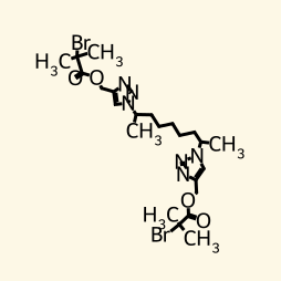 CC(CCCCCC(C)n1cc(COC(=O)C(C)(C)Br)nn1)n1cc(COC(=O)C(C)(C)Br)nn1